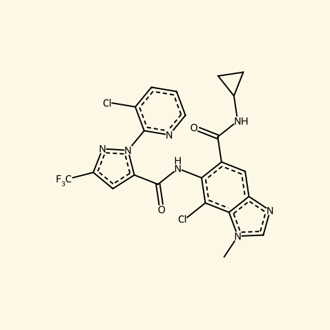 Cn1cnc2cc(C(=O)NC3CC3)c(NC(=O)c3cc(C(F)(F)F)nn3-c3ncccc3Cl)c(Cl)c21